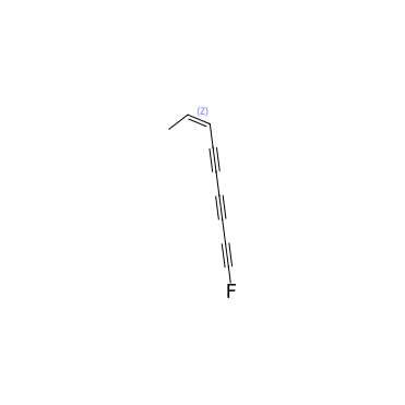 C/C=C\C#CC#CC#CF